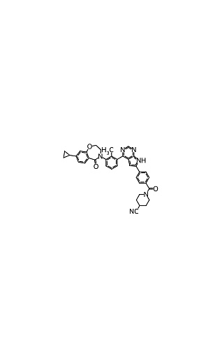 Cc1c(-c2ncnc3[nH]c(-c4ccc(C(=O)N5CCC(C#N)CC5)cc4)cc23)cccc1N1CCOc2cc(C3CC3)ccc2C1=O